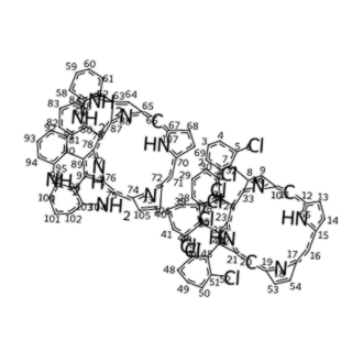 Clc1cccc(Cl)c1C1=Cc2cc3ccc(cc4nc(cc5[nH]c(c(-c6c(Cl)cccc6Cl)c1n2)c(-c1c(Cl)cccc1Cl)c5-c1c(Cl)cccc1Cl)C=C4)[nH]3.Nc1ccccc1C1=Cc2cc3ccc(cc4nc(cc5[nH]c(c(-c6ccccc6N)c1n2)c(-c1ccccc1N)c5-c1ccccc1N)C=C4)[nH]3